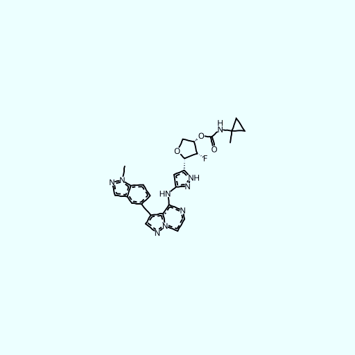 Cn1ncc2cc(-c3cnn4ccnc(Nc5cc([C@@H]6OC[C@H](OC(=O)NC7(C)CC7)[C@@H]6F)[nH]n5)c34)ccc21